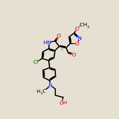 COc1cc(/C(C=O)=C2\C(=O)Nc3cc(Cl)c(-c4ccc(N(C)CCCO)cc4)cc32)on1